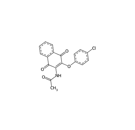 CC(=O)NC1=C(Oc2ccc(Cl)cc2)C(=O)c2ccccc2C1=O